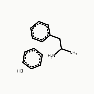 CC(N)Cc1ccccc1.Cl.c1ccccc1